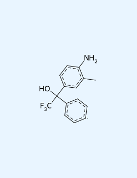 Cc1cc(C(O)(c2cc[c]cc2)C(F)(F)F)ccc1N